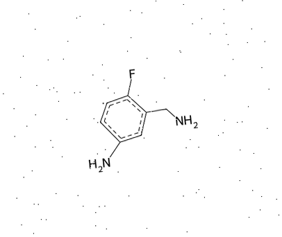 NCc1cc(N)c[c]c1F